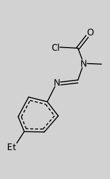 CCc1ccc(N=CN(C)C(=O)Cl)cc1